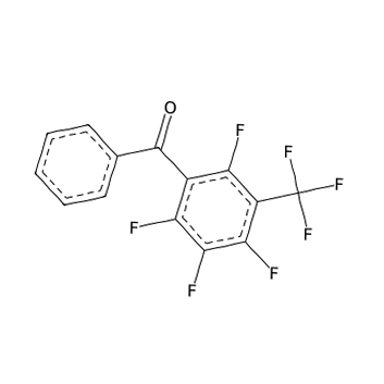 O=C(c1ccccc1)c1c(F)c(F)c(F)c(C(F)(F)F)c1F